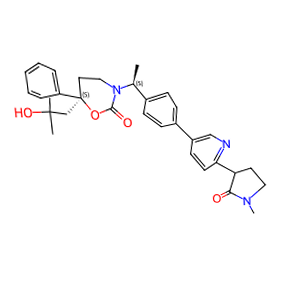 C[C@@H](c1ccc(-c2ccc(C3CCN(C)C3=O)nc2)cc1)N1CC[C@](CC(C)(C)O)(c2ccccc2)OC1=O